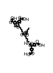 CCCCOC(=O)N(CCCCCCNC(=O)OC(c1ccc(C(=O)C(C)(C)O)cc1)c1ccc(C(=O)C(C)(C)O)cc1)C(=O)NCCCCCC[N+](C(=O)OC)(c1ccc(C(=O)C(C)(C)O)cc1)c1ccc(C(=O)C(C)(C)O)cc1